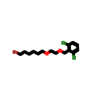 Clc1cccc(Cl)c1COCCOCCCCCCBr